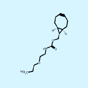 O=C(O)CCOCCNC(=O)OC[C@@H]1[C@@H]2CCC#CCC[C@@H]21